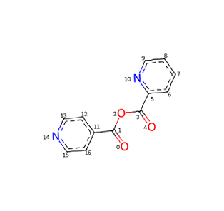 O=C(OC(=O)c1ccccn1)c1ccncc1